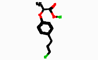 CC(Oc1ccc(CCCCl)cc1)C(=O)OCl